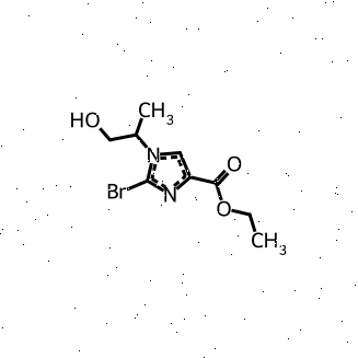 CCOC(=O)c1cn(C(C)CO)c(Br)n1